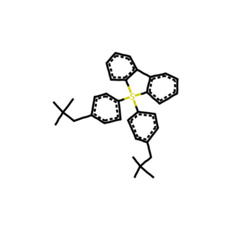 CC(C)(C)Cc1ccc(S2(c3ccc(CC(C)(C)C)cc3)c3ccccc3-c3ccccc32)cc1